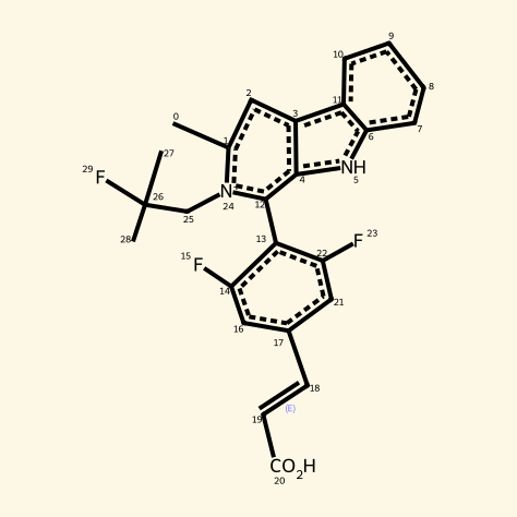 Cc1cc2c([nH]c3ccccc32)c(-c2c(F)cc(/C=C/C(=O)O)cc2F)[n+]1CC(C)(C)F